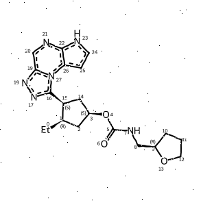 CC[C@@H]1C[C@H](OC(=O)NC[C@H]2CCCO2)C[C@@H]1c1nnc2cnc3[nH]ccc3n12